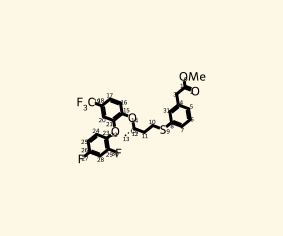 COC(=O)Cc1cccc(SCC[C@H](C)Oc2ccc(C(F)(F)F)cc2Oc2ccc(F)cc2F)c1